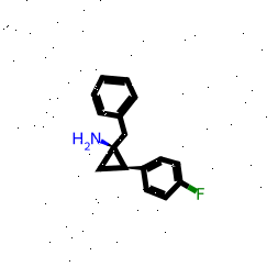 N[C@]1(Cc2ccccc2)C[C@@H]1c1ccc(F)cc1